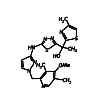 COc1c(C)cnc(Cn2ccc(Nc3nnc(C(C)(O)c4nc(C)cs4)s3)n2)c1C